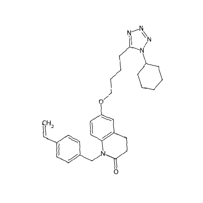 C=Cc1ccc(CN2C(=O)CCc3cc(OCCCCc4nnnn4C4CCCCC4)ccc32)cc1